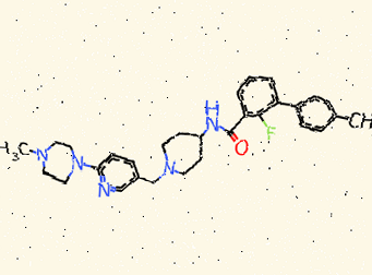 Cc1ccc(-c2cccc(C(=O)NC3CCN(Cc4ccc(N5CCN(C)CC5)nc4)CC3)c2F)cc1